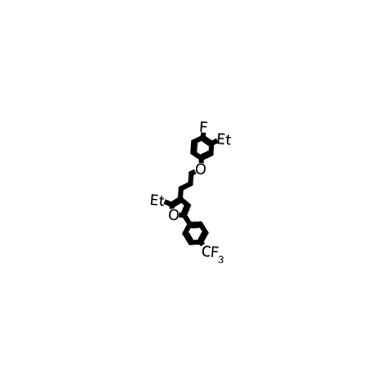 CCc1cc(OCCCc2cc(-c3ccc(C(F)(F)F)cc3)oc2CC)ccc1F